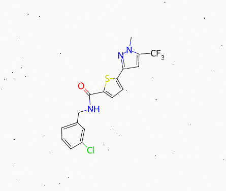 Cn1nc(-c2ccc(C(=O)NCc3cccc(Cl)c3)s2)cc1C(F)(F)F